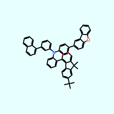 CC(C)(C)c1ccc2c(c1)C(C)(C)c1cccc(-c3ccccc3N(c3ccc(-c4ccc5oc6ccccc6c5c4)cc3)c3cccc(-c4cccc5ccccc45)c3)c1-2